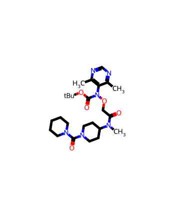 Cc1ncnc(C)c1N(OCC(=O)N(C)C1CCN(C(=O)N2CCCCC2)CC1)C(=O)OC(C)(C)C